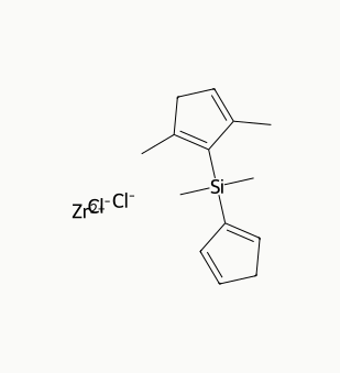 CC1=CCC(C)=C1[Si](C)(C)C1=CCC=C1.[Cl-].[Cl-].[Zr+2]